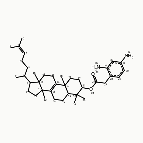 CC(C)=CCCC(C)C1CCC2(C)C3=C(CCC12C)C1(C)CCC(OC(=O)Cc2ccc(N)cc2N)C(C)(C)C1CC3